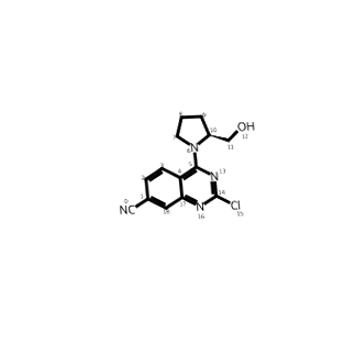 N#Cc1ccc2c(N3CCC[C@H]3CO)nc(Cl)nc2c1